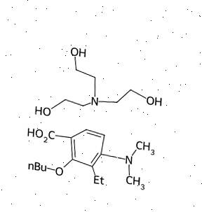 CCCCOc1c(C(=O)O)ccc(N(C)C)c1CC.OCCN(CCO)CCO